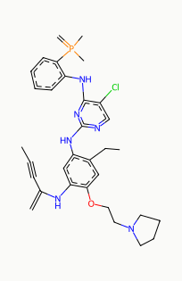 C=C(C#CC)Nc1cc(Nc2ncc(Cl)c(Nc3ccccc3P(=C)(C)C)n2)c(CC)cc1OCCN1CCCC1